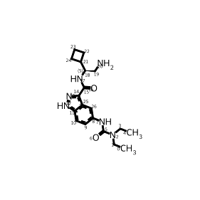 CCN(CC)C(=O)Nc1ccc2[nH]nc(C(=O)N[C@H](CN)C3CCC3)c2c1